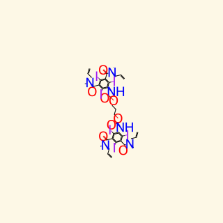 C=CCN(C)C(=O)c1c(I)c(NC(=O)OCCCOC(=O)Nc2c(I)c(C(=O)N(C)CC=C)c(I)c(C(=O)N(C)CC=C)c2I)c(I)c(C(=O)N(C)CC=C)c1I